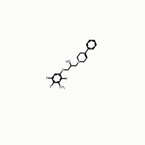 Cc1c(F)c(F)cc(OCC(O)CN2CC=C(c3ccccc3)CC2)c1F